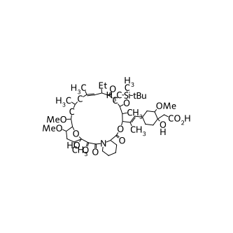 CCC1/C=C(\C)CC(C)CC(OC)C2OC(O)(C(=O)C(=O)N3CCCCC3C(=O)OC(C(C)=CC3CCC(O)(CC(=O)O)C(OC)C3)C(C)C(O[Si](C)(C)C(C)(C)C)CC1=O)C(C)CC2OC